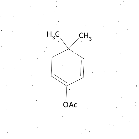 CC(=O)OC1=CCC(C)(C)C=C1